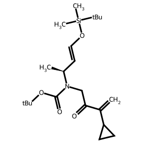 C=C(C(=O)CN(C(=O)OC(C)(C)C)[C@@H](C)C=CO[Si](C)(C)C(C)(C)C)C1CC1